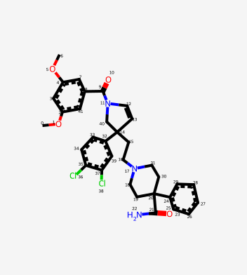 COc1cc(OC)cc(C(=O)N2C=CC(CCN3CCC(C(N)=O)(c4ccccc4)CC3)(c3ccc(Cl)c(Cl)c3)C2)c1